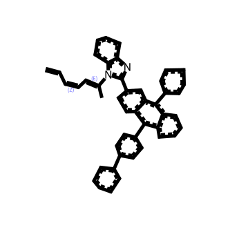 C=C/C=C\C=C(/C)n1c(-c2ccc3c(-c4ccc(-c5ccccc5)cc4)c4ccccc4c(-c4ccccc4)c3c2)nc2ccccc21